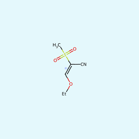 CCO/C=C(\C#N)S(C)(=O)=O